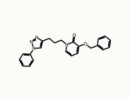 O=c1c(OCc2ccccc2)cccn1CCCc1cn(-c2ccccc2)nn1